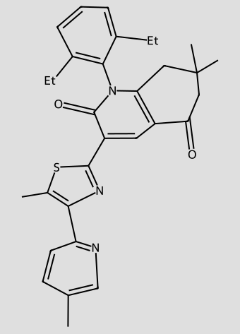 CCc1cccc(CC)c1-n1c2c(cc(-c3nc(-c4ccc(C)cn4)c(C)s3)c1=O)C(=O)CC(C)(C)C2